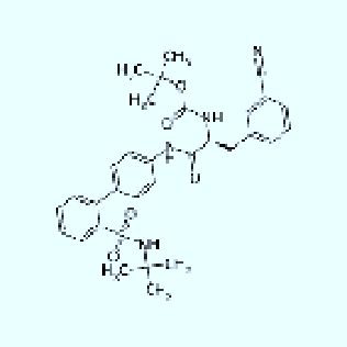 CC(C)(C)NS(=O)(=O)c1ccccc1-c1ccc(NC(=O)[C@H](Cc2cccc(C#N)c2)NC(=O)OC(C)(C)C)cc1